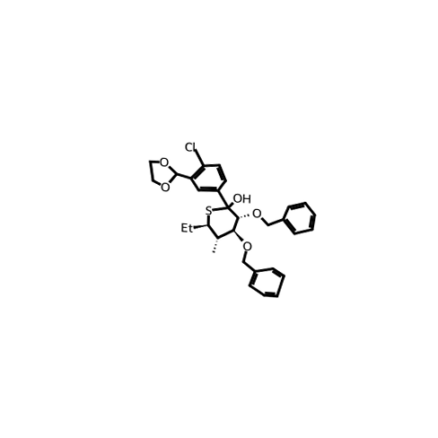 CC[C@H]1SC(O)(c2ccc(Cl)c(C3OCCO3)c2)[C@H](OCc2ccccc2)[C@@H](OCc2ccccc2)[C@@H]1C